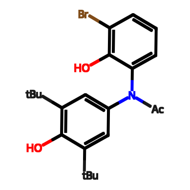 CC(=O)N(c1cc(C(C)(C)C)c(O)c(C(C)(C)C)c1)c1cccc(Br)c1O